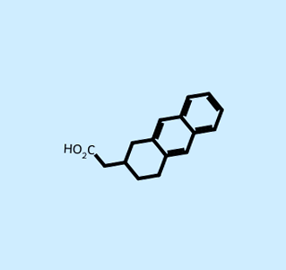 O=C(O)CC1CCc2cc3ccccc3cc2C1